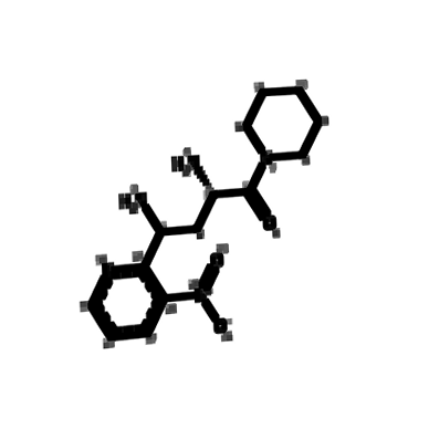 NC(C[C@H](N)C(=O)N1CCCCC1)c1ncccc1[N+](=O)[O-]